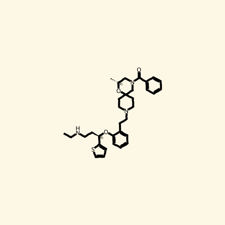 CCNCC[C@@H](Oc1ccccc1CCN1CCC2(CC1)CN(C(=O)c1ccccc1)C[C@@H](C)O2)c1cccs1